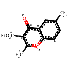 CCOC(=O)c1c(C(F)(F)F)oc2ccc(C(F)(F)F)cc2c1=O